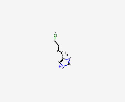 CCCCCl.c1c[nH]cn1